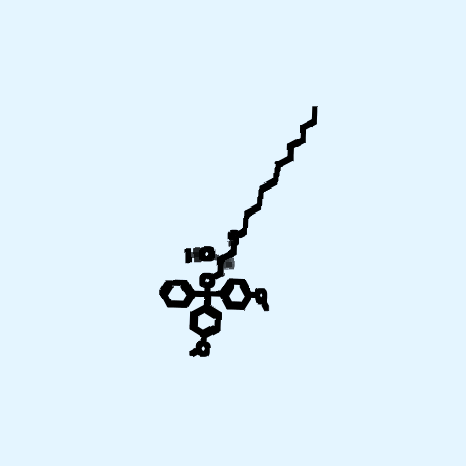 CCCCCCCCCCCCSC[C@@H](O)COC(c1ccccc1)(c1ccc(OC)cc1)c1ccc(OC)cc1